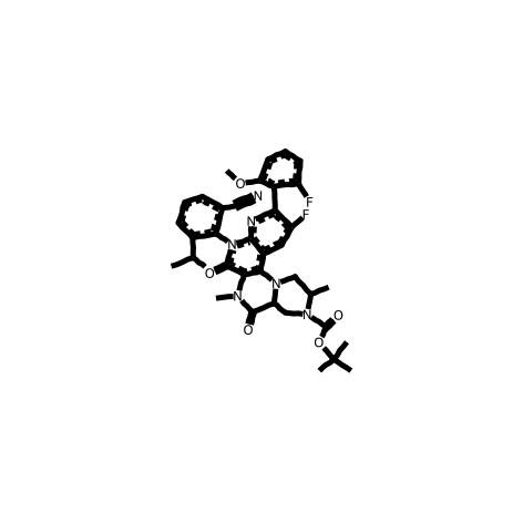 COc1cccc(F)c1-c1nc2c(cc1F)c1c(c(=O)n2-c2c(C#N)cccc2C(C)C)N(C)C(=O)C2CN(C(=O)OC(C)(C)C)C(C)CN12